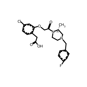 C[C@@H]1CN(Cc2ccc(F)cc2)CCN1C(=O)COc1cc(Cl)ccc1CC(=O)O